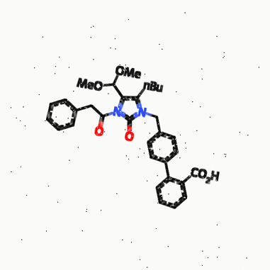 CCCCc1c(C(OC)OC)n(C(=O)Cc2ccccc2)c(=O)n1Cc1ccc(-c2ccccc2C(=O)O)cc1